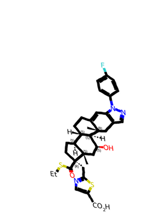 CCSC(=O)[C@@]1(Cc2ncc(C(=O)O)s2)CC[C@H]2[C@@H]3CCC4=Cc5c(cnn5-c5ccc(F)cc5)C[C@]4(C)[C@H]3[C@@H](O)C[C@@]21C